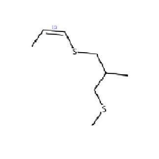 C/C=C\SCC(C)CSC